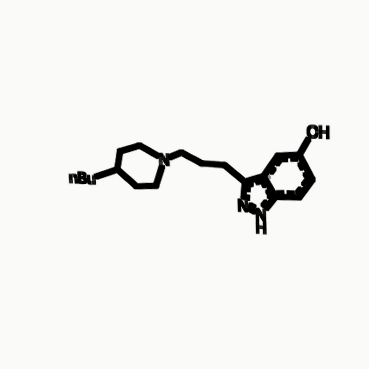 CCCCC1CCN(CCCc2n[nH]c3ccc(O)cc23)CC1